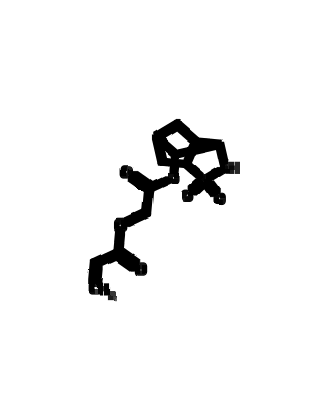 C=CC(=O)OCC(=O)OC1C2CC3C1NS(=O)(=O)C3C2